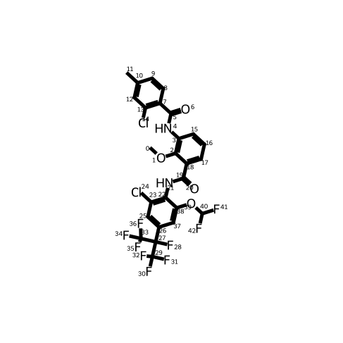 COc1c(NC(=O)c2ccc(C)cc2Cl)cccc1C(=O)Nc1c(Cl)cc(C(F)(C(F)(F)F)C(F)(F)F)cc1OC(F)F